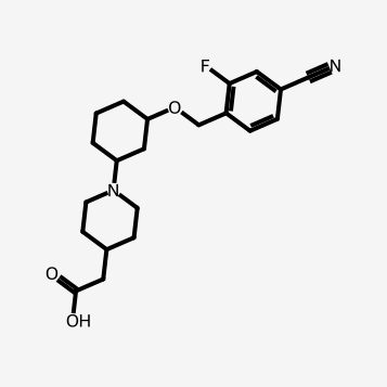 N#Cc1ccc(COC2CCCC(N3CCC(CC(=O)O)CC3)C2)c(F)c1